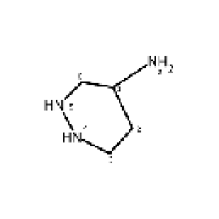 NC1CCNNC1